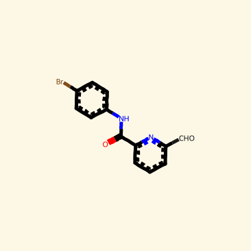 O=Cc1cccc(C(=O)Nc2ccc(Br)cc2)n1